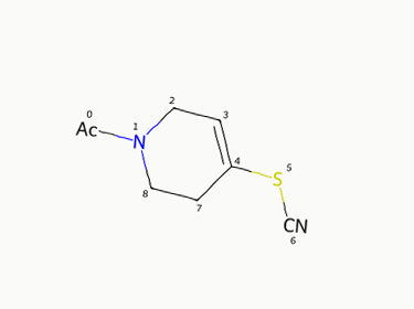 CC(=O)N1CC=C(SC#N)CC1